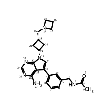 CC(=O)NCc1cccc(-c2cn([C@H]3C[C@@H](CN4CCC4)C3)c3ncnc(N)c23)c1